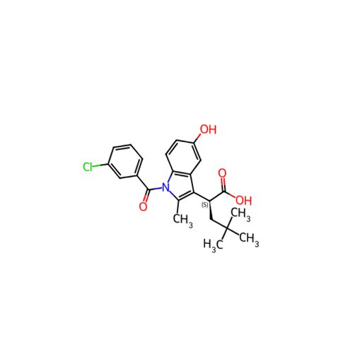 Cc1c([C@H](CC(C)(C)C)C(=O)O)c2cc(O)ccc2n1C(=O)c1cccc(Cl)c1